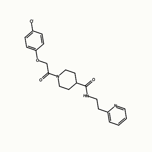 O=C(NCCc1ccccn1)C1CCN(C(=O)COc2ccc(Cl)cc2)CC1